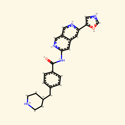 O=C(Nc1cc2cc(-c3cnco3)ncc2cn1)c1ccc(CC2CCNCC2)cc1